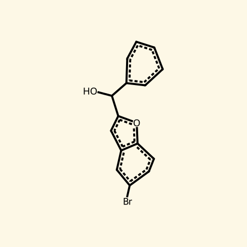 OC(c1ccccc1)c1cc2cc(Br)ccc2o1